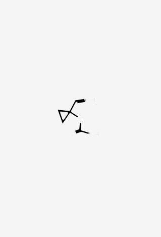 C=CC1(OC(C)=O)CC1